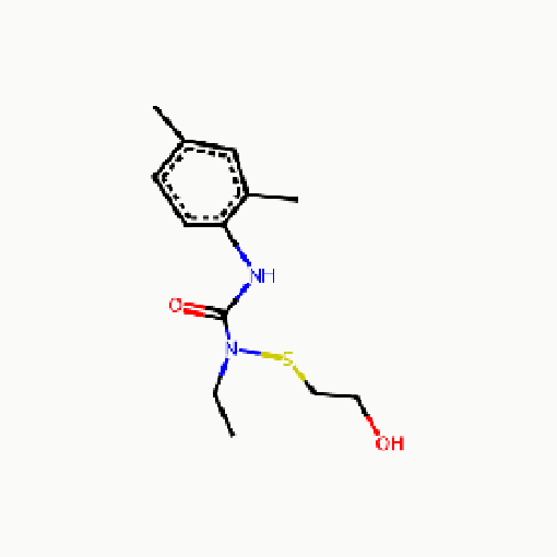 CCN(SCCO)C(=O)Nc1ccc(C)cc1C